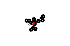 CC1(C)c2ccccc2-c2cccc(-c3ccc(N(c4ccc(-c5cc6ccccc6c6ccccc56)cc4)c4ccccc4-c4cccc5oc6c7ccccc7ccc6c45)cc3)c21